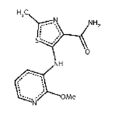 COc1ncccc1Nc1sc(C)nc1C(N)=O